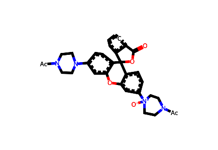 CC(=O)N1CCN(c2ccc3c(c2)Oc2cc([N+]4([O-])CCN(C(C)=O)CC4)ccc2C32OC(=O)c3ccccc32)CC1